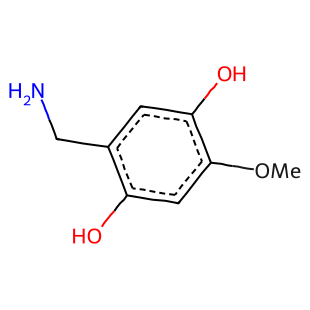 COc1cc(O)c(CN)cc1O